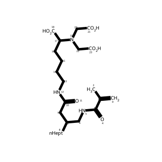 C=C(C)C(=O)NCC(CCCCCCC)CC(=O)NCCCCC(C(=O)O)N(CC(=O)O)CC(=O)O